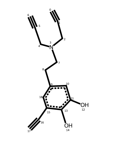 C#CCN(CC#C)CCc1cc(O)c(O)c(C#C)c1